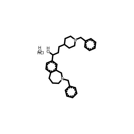 Cl.Cl.OC(CCC1CCN(Cc2ccccc2)CC1)c1ccc2c(c1)CN(Cc1ccccc1)CCC2